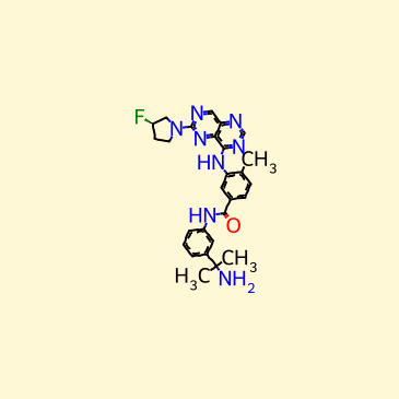 Cc1ccc(C(=O)Nc2cccc(C(C)(C)N)c2)cc1Nc1ncnc2cnc(N3CC[C@@H](F)C3)nc12